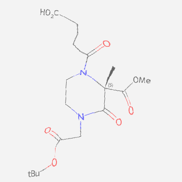 COC(=O)[C@]1(C)C(=O)N(CC(=O)OC(C)(C)C)CCN1C(=O)CCC(=O)O